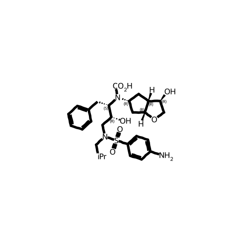 CC(C)CN(C[C@@H](O)[C@H](Cc1ccccc1)N(C(=O)O)[C@@H]1C[C@@H]2[C@@H](O)CO[C@@H]2C1)S(=O)(=O)c1ccc(N)cc1